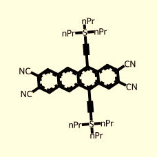 CCCS(C#Cc1c2cc(C#N)c(C#N)cc2c(C#CS(CCC)(CCC)CCC)c2cc3cc(C#N)c(C#N)cc3cc12)(CCC)CCC